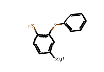 O=S(=O)(O)c1ccc(S)c(Sc2ccccc2)c1